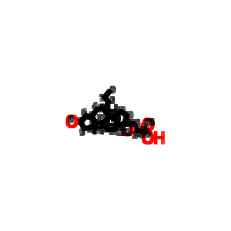 CCC[C@@H]1CC2=CC(=O)CC[C@]2(C)[C@H]2CC[C@@]3(C)[C@@H](CC[C@@]3(O)CCC(=O)O)[C@H]12